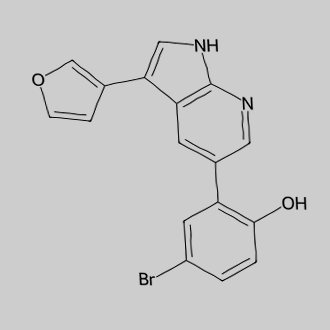 Oc1ccc(Br)cc1-c1cnc2[nH]cc(-c3ccoc3)c2c1